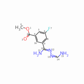 COC(=O)c1cc(F)cc(/C(N)=N/N=C\N)c1